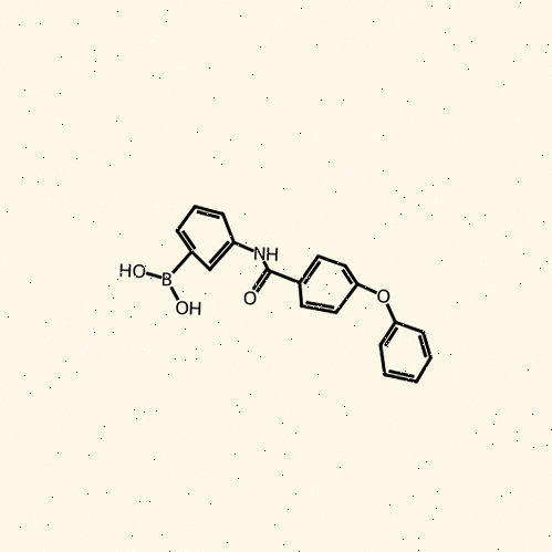 O=C(Nc1cccc(B(O)O)c1)c1ccc(Oc2ccccc2)cc1